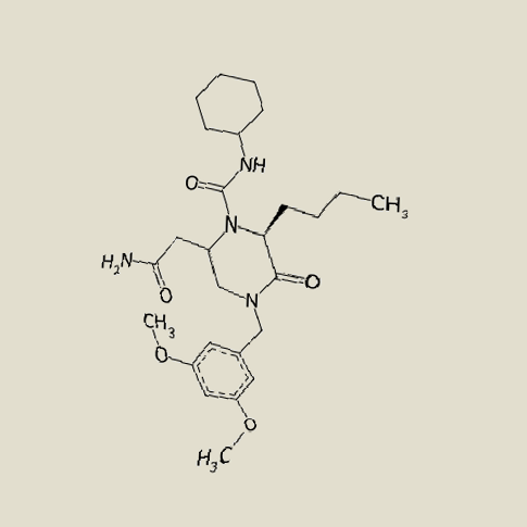 CCCC[C@H]1C(=O)N(Cc2cc(OC)cc(OC)c2)CC(CC(N)=O)N1C(=O)NC1CCCCC1